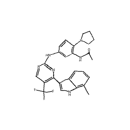 CC(=O)Nc1cc(Nc2ncc(C(F)(F)F)c(-c3c[nH]c4c(C)cccc34)n2)ccc1N1CCCC1